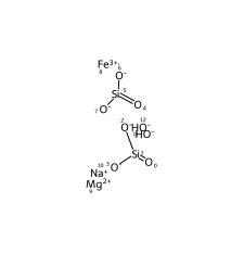 O=[Si]([O-])[O-].O=[Si]([O-])[O-].[Fe+3].[Mg+2].[Na+].[OH-].[OH-]